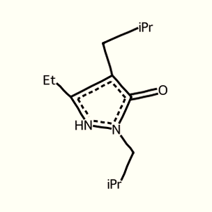 CCc1[nH]n(CC(C)C)c(=O)c1CC(C)C